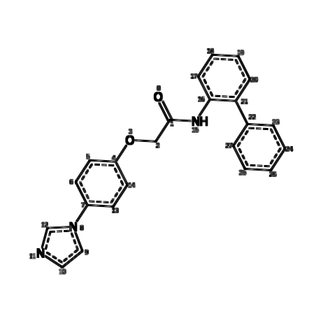 O=C(COc1ccc(-n2ccnc2)cc1)Nc1ccccc1-c1ccccc1